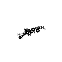 COc1cc2c(Nc3ccc(Oc4ccccc4OC)cc3)c(C#N)cnc2cc1OC[C@@H](O)CN1CCCC1